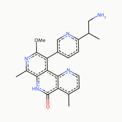 COc1nc(C)c2[nH]c(=O)c3c(C)ccnc3c2c1-c1ccc(C(C)CN)nc1